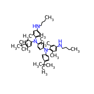 CCCCNc1cc(C)c(N(c2ccc(N(c3ccc(C(C)(C)C)cc3)c3c(C)cc(NCCCC)cc3C)cc2)c2ccc(C(C)(C)C)cc2)c(C)c1